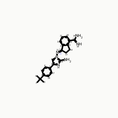 CC(C)(C)c1ccc(-c2cn(/N=C3\CCc4c(C(=N)N)cccc43)c(N)n2)cc1